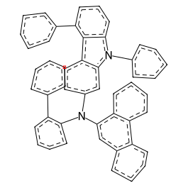 c1ccc(-c2ccccc2N(c2ccc3c4c(-c5ccccc5)cccc4n(-c4ccccc4)c3c2)c2cc3ccccc3c3ccccc23)cc1